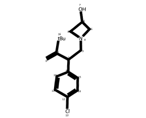 C=C(C(CN1CC(O)C1)c1ccc(Cl)cc1)C(C)(C)C